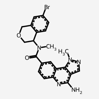 CN(C(=O)c1ccc2nc(N)c3cnn(C)c3c2c1)C1COCc2cc(Br)ccc21